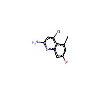 Cc1cc(Br)cc2nc(N)cc(Cl)c12